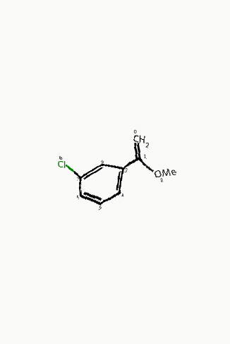 C=C(OC)c1cccc(Cl)c1